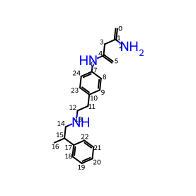 C=C(N)CC(=C)Nc1ccc(CCNCC(C)c2ccccc2)cc1